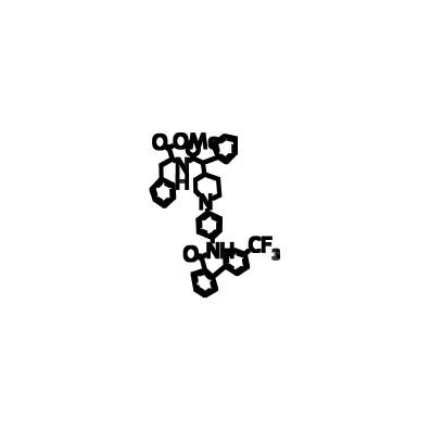 COC(=O)C(Cc1ccccc1)NC(=O)C(c1ccccc1)C1CCN(c2ccc(NC(=O)c3ccccc3-c3ccc(C(F)(F)F)cc3)cc2)CC1